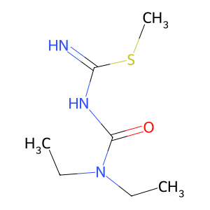 CCN(CC)C(=O)NC(=N)SC